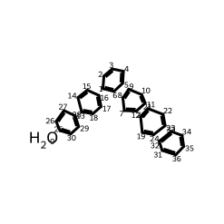 O.c1ccccc1.c1ccccc1.c1ccccc1.c1ccccc1.c1ccccc1.c1ccccc1